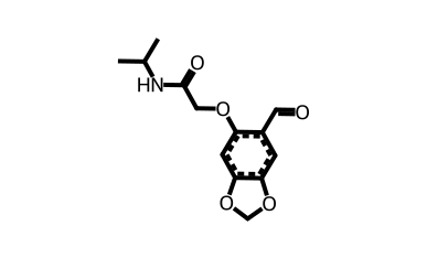 CC(C)NC(=O)COc1cc2c(cc1C=O)OCO2